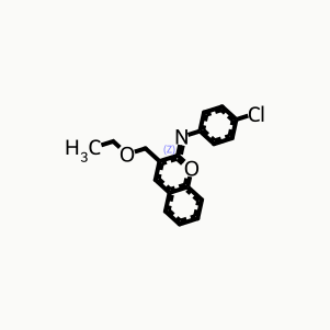 CCOCc1cc2ccccc2o/c1=N\c1ccc(Cl)cc1